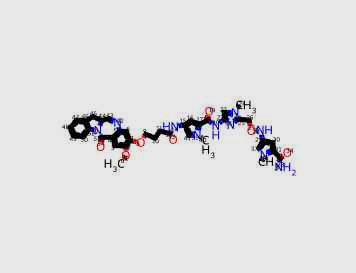 COc1cc2c(cc1OCCCC(=O)Nc1cc(C(=O)Nc3cn(C)c(CONc4cc(C(N)=O)n(C)c4)n3)n(C)c1)N=CC1Cc3ccccc3N1C2=O